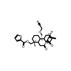 C=C1C(=O)[C@]23CC[C@H]1CC2[C@]1(COCC#N)CCC[C@@](C)(COC(=O)c2cccs2)C1CC3=O